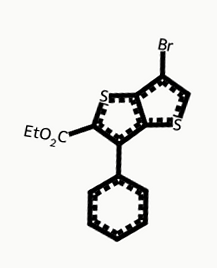 CCOC(=O)c1sc2c(Br)csc2c1-c1ccccc1